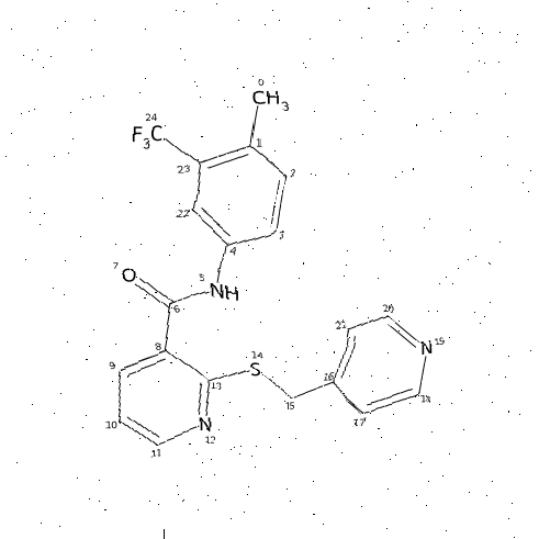 Cc1ccc(NC(=O)c2cccnc2SCc2ccncc2)cc1C(F)(F)F